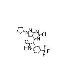 O=C1Nc2ccc(C(F)(F)F)cc2C1c1nc(Cl)nc2nn(C3CCCC3)cc12